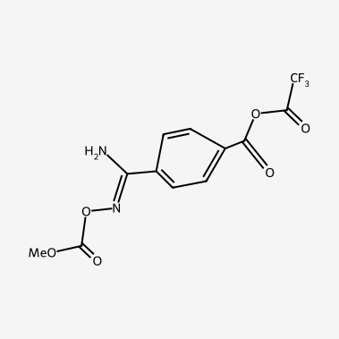 COC(=O)ON=C(N)c1ccc(C(=O)OC(=O)C(F)(F)F)cc1